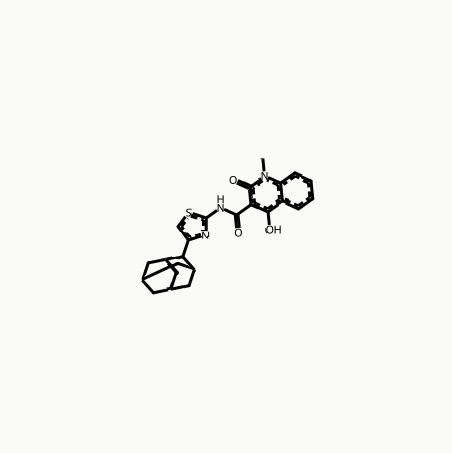 Cn1c(=O)c(C(=O)Nc2nc(C3C4CC5CC(C4)CC3C5)cs2)c(O)c2ccccc21